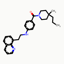 CCCC1(C)CCN(C(=O)c2ccc(NCCc3cccc4cccnc34)cc2)CC1